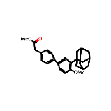 COC(=O)Cc1ccc(-c2ccc(OC)c(C34CC5CC(CC(C5)C3)C4)c2)cc1